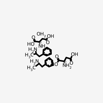 CC(N)Cc1ccccc1.CC(N)Cc1ccccc1.N[C@@H](CC(=O)O)C(=O)O.N[C@@H](CC(=O)O)C(=O)O.O